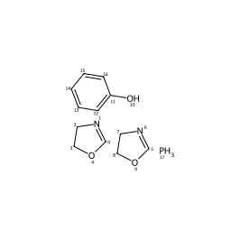 C1=NCCO1.C1=NCCO1.Oc1ccccc1.P